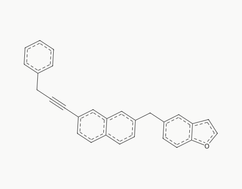 C(#Cc1ccc2ccc(Cc3ccc4occc4c3)cc2c1)Cc1ccccc1